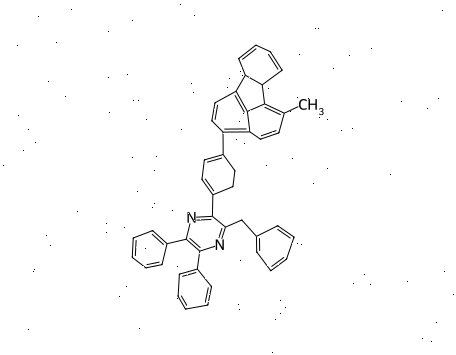 Cc1ccc2c(C3=CC=C(c4nc(-c5ccccc5)c(-c5ccccc5)nc4Cc4ccccc4)CC3)ccc3c2c1C1C=CC=CC31